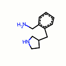 NCc1ccccc1CC1CCNC1